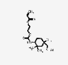 C=CC(=O)OCCOC(=O)NC1CCC(C)(CNC(C)=O)CC1(C)C